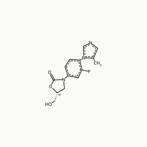 Cc1cncn1-c1ccc(N2C[C@H](CO)OC2=O)cc1F